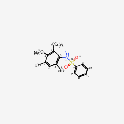 CCc1cc(CC)c(OC)c(C(=O)O)c1NS(=O)(=O)c1ccccc1